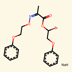 CC(=NOCCOc1ccccc1)C(=O)OC(Br)COc1ccccc1.[NaH]